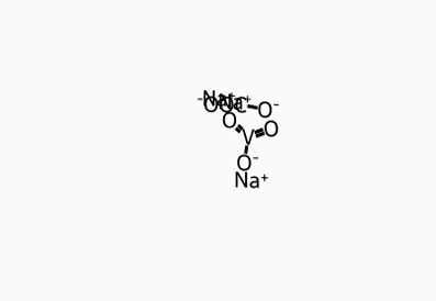 O=C([O-])[O-].[Na+].[Na+].[Na+].[O]=[V](=[O])[O-]